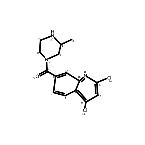 CC1CN(C(=O)c2ccc3c(Cl)cc(Cl)nc3c2)CCN1